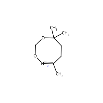 C/C1=N/OCOC(C)(C)CC1